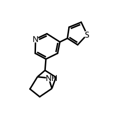 c1cc(-c2cncc(C3CC4CCC3N4)c2)cs1